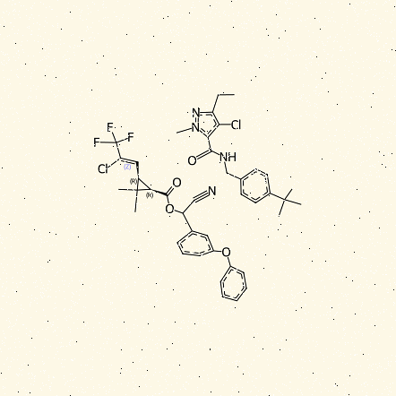 CC1(C)[C@H](C(=O)OC(C#N)c2cccc(Oc3ccccc3)c2)[C@@H]1/C=C(\Cl)C(F)(F)F.CCc1nn(C)c(C(=O)NCc2ccc(C(C)(C)C)cc2)c1Cl